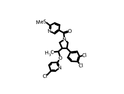 CSc1ccc(C(=O)N2CC(c3ccc(Cl)c(Cl)c3)C(C(C)Oc3ccc(Cl)cn3)C2)cn1